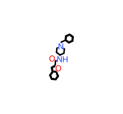 O=C(NC1CCN(Cc2ccccc2)CC1)c1cc2ccccc2o1